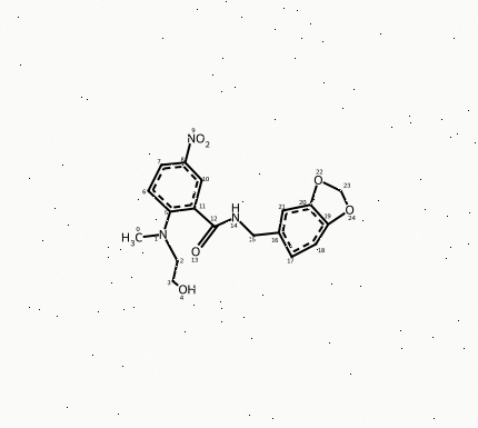 CN(CCO)c1ccc([N+](=O)[O-])cc1C(=O)NCc1ccc2c(c1)OCO2